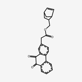 O=C(Cc1ccc2c(c1)C(=O)C(=O)c1ccccc1-2)OCC1CC2C=CC1C2